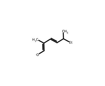 CCC(C)C=CC(C)=C[O]